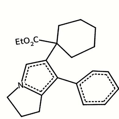 CCOC(=O)C1(c2cn3c(c2-c2ccccc2)CCC3)CCCCC1